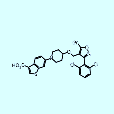 CC(C)c1onc(-c2c(Cl)cccc2Cl)c1COC1CCN(c2ccc3c(C(=O)O)csc3c2)CC1